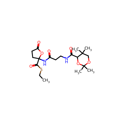 CCSC(=O)C1(NC(=O)CCNC(=O)C2OC(C)(C)OCC2(C)C)CCC(=O)O1